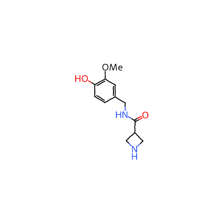 COc1cc(CNC(=O)C2CNC2)ccc1O